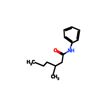 CCCC(C)CC(=O)Nc1ccccc1